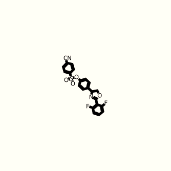 N#Cc1ccc(S(=O)(=O)Oc2ccc(C3COC(c4c(F)cccc4F)=N3)cc2)cc1